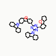 c1ccc2c(c1)oc1c(-c3nc(-c4ccc5oc6ccc(-n7c8ccccc8c8ccccc87)cc6c5c4)nc(-n4c5ccccc5c5ccccc54)n3)cccc12